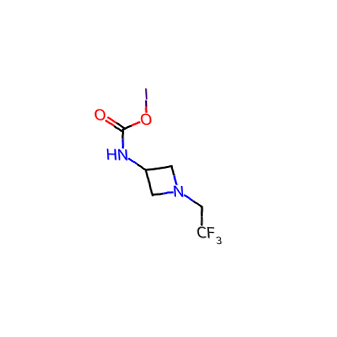 O=C(NC1CN(CC(F)(F)F)C1)OI